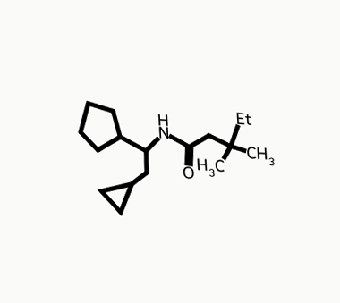 CCC(C)(C)CC(=O)NC(CC1CC1)C1CCCC1